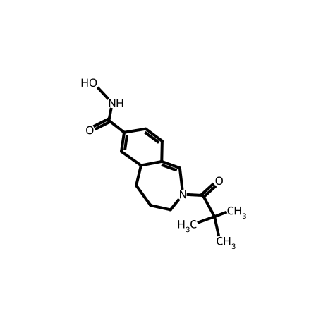 CC(C)(C)C(=O)N1C=C2C=CC(C(=O)NO)=CC2CCC1